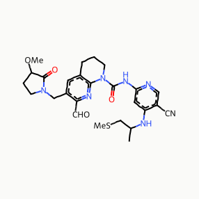 COC1CCN(Cc2cc3c(nc2C=O)N(C(=O)Nc2cc(NC(C)CSC)c(C#N)cn2)CCC3)C1=O